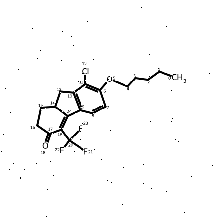 CCCCCOc1ccc2c(c1Cl)CC1CCC(=O)C(C(F)(F)F)=C21